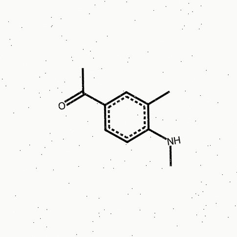 CNc1ccc(C(C)=O)cc1C